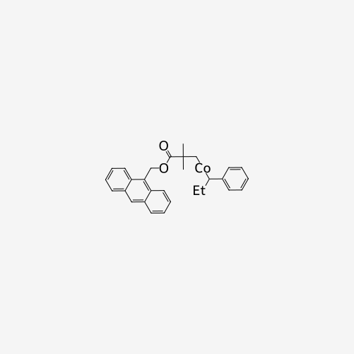 CC[CH]([Co][CH2]C(C)(C)C(=O)OCc1c2ccccc2cc2ccccc12)c1ccccc1